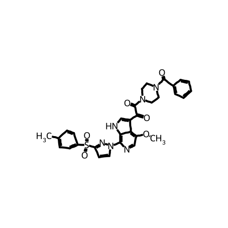 COc1cnc(-n2ccc(S(=O)(=O)c3ccc(C)cc3)n2)c2[nH]cc(C(=O)C(=O)N3CCN(C(=O)c4ccccc4)CC3)c12